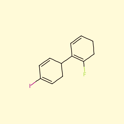 FC1=C(C2C=CC(I)=CC2)C=CCC1